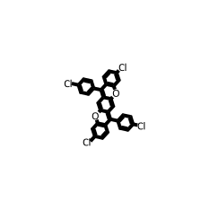 Clc1ccc(C2=c3cc4c(cc3Oc3cc(Cl)ccc32)=C(c2ccc(Cl)cc2)c2ccc(Cl)cc2O4)cc1